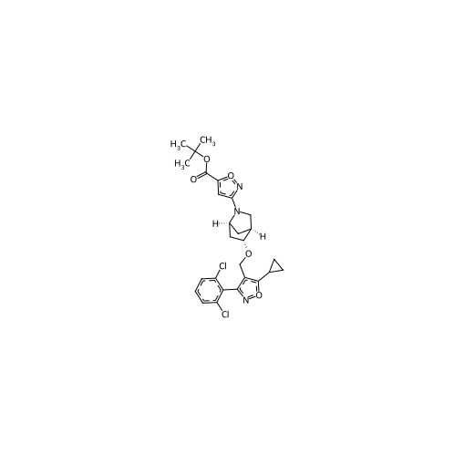 CC(C)(C)OC(=O)c1cc(N2C[C@@H]3C[C@H]2C[C@H]3OCc2c(-c3c(Cl)cccc3Cl)noc2C2CC2)no1